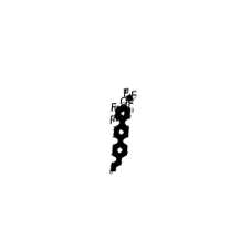 CCCC1CCC(C2CC=C(c3ccc(OC(F)(F)F)c(F)c3F)CC2)CC1